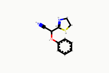 N#CC(Oc1ccccc1)C1=NCCS1